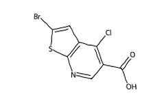 O=C(O)c1cnc2sc(Br)cc2c1Cl